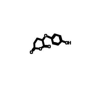 O=C1CCC(Oc2ccc(O)cc2)C(=O)O1